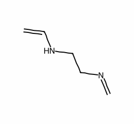 C=CNCCN=C